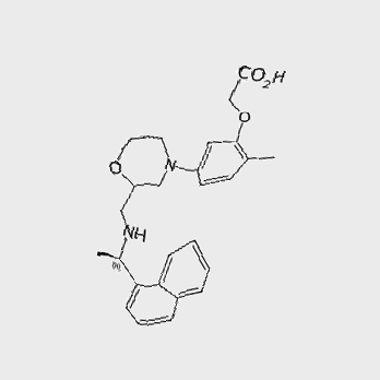 Cc1ccc(N2CCOC(CN[C@H](C)c3cccc4ccccc34)C2)cc1OCC(=O)O